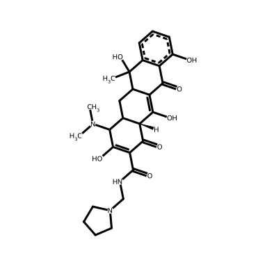 CN(C)C1C(O)=C(C(=O)NCN2CCCC2)C(=O)[C@H]2C(O)=C3C(=O)c4c(O)cccc4C(C)(O)C3CC12